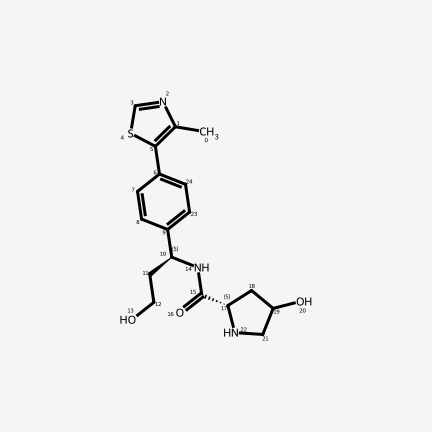 Cc1ncsc1-c1ccc([C@H](CCO)NC(=O)[C@@H]2CC(O)CN2)cc1